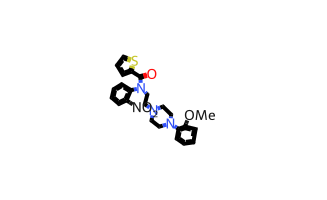 COc1ccccc1N1CCN(CCN(C(=O)c2cccs2)c2ccccc2[N+](=O)[O-])CC1